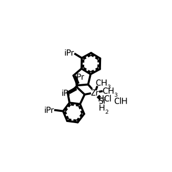 CC(C)C1=Cc2c(C(C)C)cccc2[CH]1[Zr]([CH3])([CH3])(=[SiH2])[CH]1C(C(C)C)=Cc2c(C(C)C)cccc21.Cl.Cl